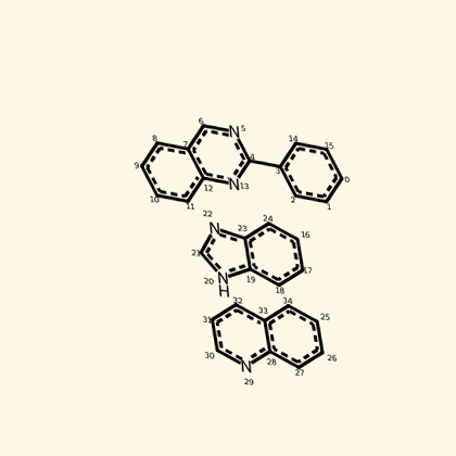 c1ccc(-c2ncc3ccccc3n2)cc1.c1ccc2[nH]cnc2c1.c1ccc2ncccc2c1